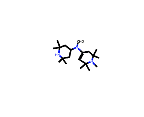 CN1C(C)(C)C=C(N(C=O)C2CC(C)(C)NC(C)(C)C2)CC1(C)C